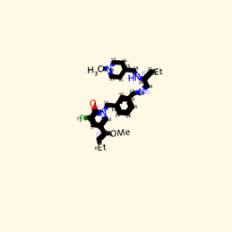 CC/C=C(\OC)c1cc(F)c(=O)n(Cc2cccc(C/N=C\C(=C/CC)NCC3CCN(C)CC3)c2)c1